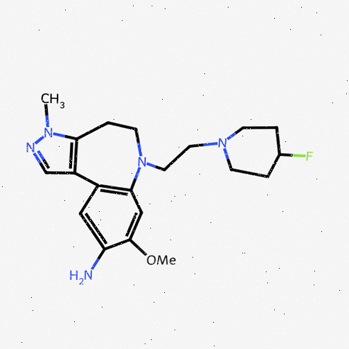 COc1cc2c(cc1N)-c1cnn(C)c1CCN2CCN1CCC(F)CC1